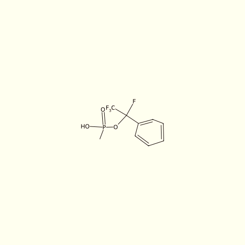 CP(=O)(O)OC(F)(c1ccccc1)C(F)(F)F